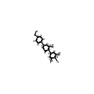 CCc1ccc(-c2ccc(-c3cc(F)c(C)c(F)c3)c(F)c2)cc1